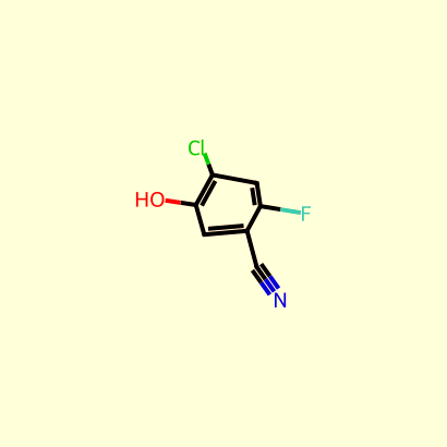 N#Cc1cc(O)c(Cl)cc1F